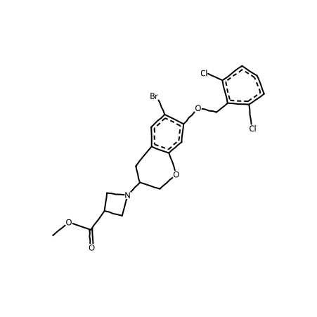 COC(=O)C1CN(C2COc3cc(OCc4c(Cl)cccc4Cl)c(Br)cc3C2)C1